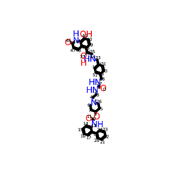 O=C(NCCN1CCC(OC(=O)Nc2ccccc2-c2ccccc2)CC1)NCc1ccc(CNC[C@H](O)c2ccc(O)c3[nH]c(=O)ccc23)cc1